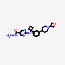 NNC(=O)c1cnc(NC2(c3cccc(C4CCN(C5COC5)CC4)c3)CCC2)nc1